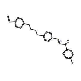 C=Cc1ccc(CCCCc2ccc(/C=C/C(=O)c3ccc(F)cc3)cc2)cc1